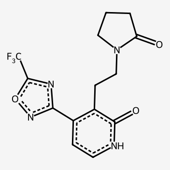 O=C1CCCN1CCc1c(-c2noc(C(F)(F)F)n2)cc[nH]c1=O